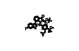 COC1(c2ccc(NC3c4c(cccc4-c4cnc5cc(F)ccn45)C(=O)N3C(=O)OC(C)(C)C)nc2CN(C)C)CC1